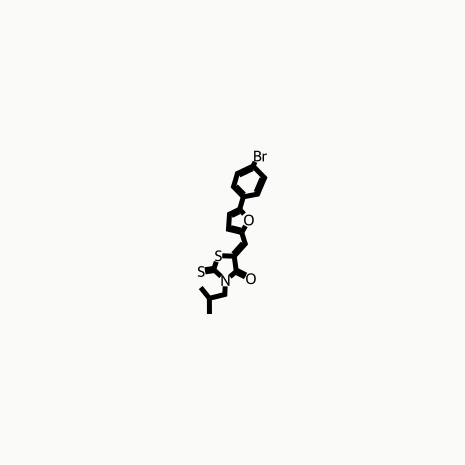 CC(C)CN1C(=O)/C(=C/c2ccc(-c3ccc(Br)cc3)o2)SC1=S